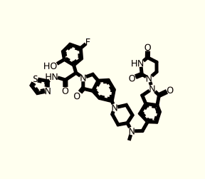 CN(Cc1ccc2c(c1)CN(N1CCC(=O)NC1=O)C2=O)C1CCN(c2ccc3c(c2)C(=O)N(C(C(=O)Nc2nccs2)c2cc(F)ccc2O)C3)CC1